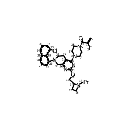 C=C(F)C(=O)N1CCN(c2nc(OCC3CCN3C(C)C)nc3c2CCN(c2cccc4cccc(Cl)c24)C3)CC1